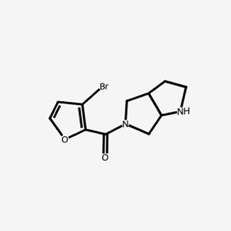 O=C(c1occc1Br)N1CC2CCNC2C1